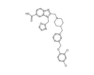 O=C(O)c1ccc2nc(CN3CCC(Cc4cccc(COc5ccc(Cl)cc5Cl)c4)CC3)n(Cc3ncco3)c2c1